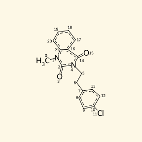 Cn1c(=O)n(CCc2ccc(Cl)cc2)c(=O)c2ccccc21